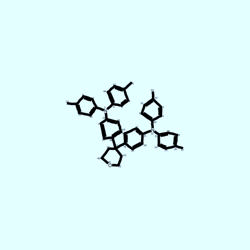 Cc1ccc(N(c2ccc(C)cc2)c2ccc(C3(c4ccc(N(c5ccc(C)cc5)c5ccc(C)cc5)cc4)CCOCC3)cc2)cc1